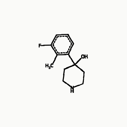 Cc1c(F)cccc1C1(O)CCNCC1